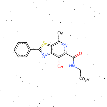 N#Cc1nc(C(=O)NCC(=O)O)c(O)c2nc(-c3ccccc3)sc12